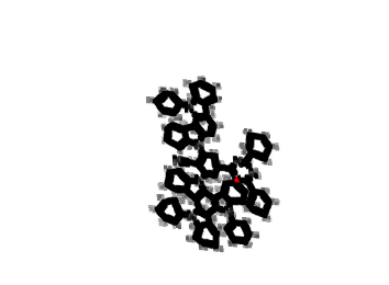 N#Cc1c(-n2c3ccccc3c3c2ccc2c4ccccc4n(-c4ccccc4)c23)cc(-c2nc(-c3ccccc3)nc(-c3ccccc3)n2)cc1-n1c2ccccc2c2c3c(c4ccccc4n3-c3ccccc3)c3c(c4ccccc4n3-c3ccccc3)c21